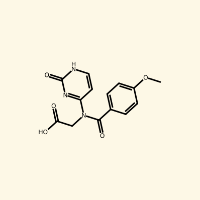 COc1ccc(C(=O)N(CC(=O)O)c2cc[nH]c(=O)n2)cc1